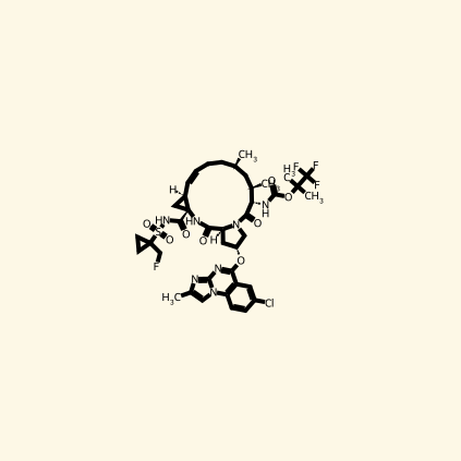 Cc1cn2c(n1)nc(O[C@@H]1C[C@H]3C(=O)N[C@]4(C(=O)NS(=O)(=O)C5(CF)CC5)C[C@H]4/C=C\CC[C@@H](C)C[C@@H](C)[C@H](NC(=O)OC(C)(C)C(F)(F)F)C(=O)N3C1)c1cc(Cl)ccc12